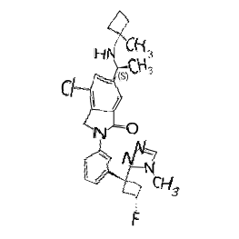 C[C@H](NC1(C)CCC1)c1cc(Cl)c2c(c1)C(=O)N(c1cccc([C@]3(c4nncn4C)C[C@@H](F)C3)c1)C2